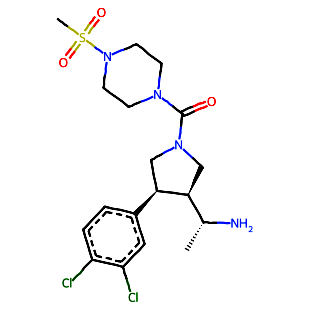 C[C@@H](N)[C@@H]1CN(C(=O)N2CCN(S(C)(=O)=O)CC2)C[C@@H]1c1ccc(Cl)c(Cl)c1